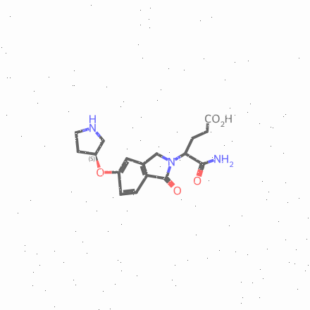 NC(=O)C(CCC(=O)O)N1Cc2cc(O[C@H]3CCNC3)ccc2C1=O